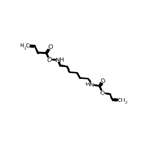 C=CCOC(=O)NCCCCCCNOC(=O)CC=C